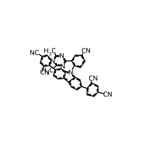 Cc1nc(C)nc(-c2cc(C#N)ccc2-n2c3cc(-c4ccc(C#N)cc4C#N)ccc3c3ccc(-c4ccc(C#N)cc4C#N)cc32)n1